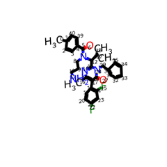 Cc1ccc(C(=O)N(CCCN)C(c2nc(C)c(-c3ccc(F)cc3F)c(=O)n2Cc2ccccc2)C(C)C)cc1